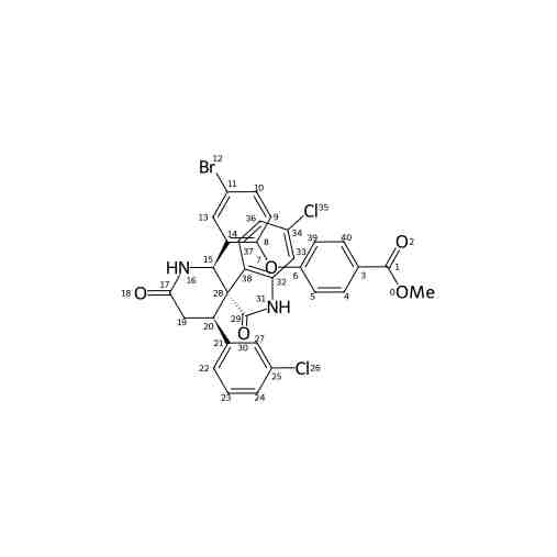 COC(=O)c1ccc(Oc2ccc(Br)cc2[C@@H]2NC(=O)C[C@H](c3cccc(Cl)c3)[C@@]23C(=O)Nc2cc(Cl)ccc23)cc1